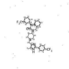 Cc1[nH]c(-c2ccc(C(F)(F)F)cc2)nc1CN1CCC(N(Cc2ccccc2)C(=O)Nc2cccc(C(F)(F)F)c2)CC1